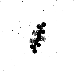 CC1(C)c2cc3c(cc2-c2cc4c(cc21)-c1c(cc(-c2sc(-c5ccccc5)c5ccccc25)c2ccccc12)C4(C)C)C(C)(C)c1cc(-c2sc(-c4ccccc4)c4ccccc24)c2ccccc2c1-3